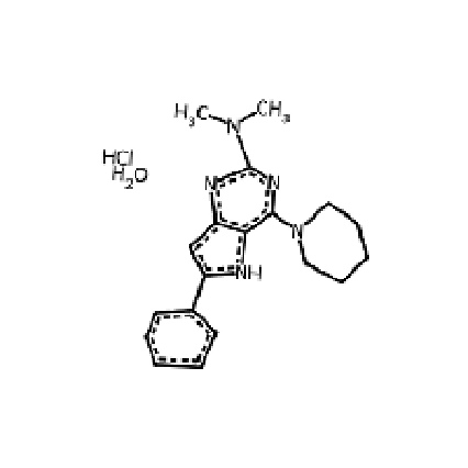 CN(C)c1nc(N2CCCCC2)c2[nH]c(-c3ccccc3)cc2n1.Cl.O